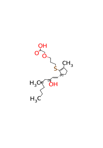 CCCC[C@@H](C)C[C@H](O)C=C[C@H]1CCC(C)=C1SCCCOCC(=O)O